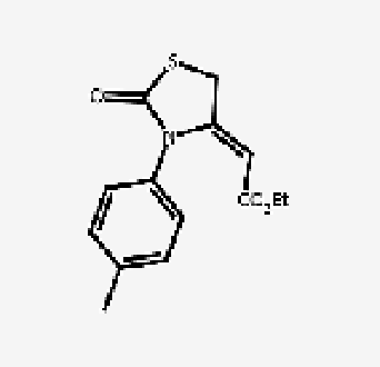 CCOC(=O)/C=C1/CSC(=O)N1c1ccc(C)cc1